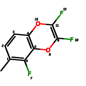 Cc1ccc2c(c1F)OC(F)=C(F)O2